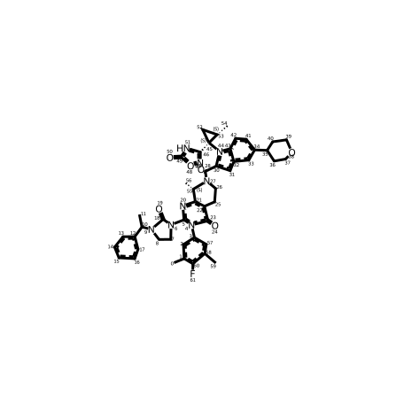 Cc1cc(-n2c(N3CCN(C(C)c4ccccc4)C3=O)nc3c(c2=O)CCN(C(=O)c2cc4cc(C5CCOCC5)ccc4n2[C@@]2(c4noc(=O)[nH]4)C[C@@H]2C)[C@H]3C)cc(C)c1F